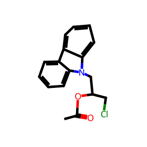 CC(=O)OC(CCl)Cn1c2ccccc2c2ccccc21